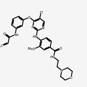 C=CC(=O)Nc1cccc(Oc2nc(Nc3ccc(C(=O)NCCN4CCOCC4)cc3OC)ncc2Cl)c1